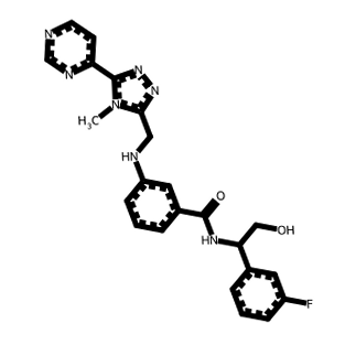 Cn1c(CNc2cccc(C(=O)NC(CO)c3cccc(F)c3)c2)nnc1-c1ccncn1